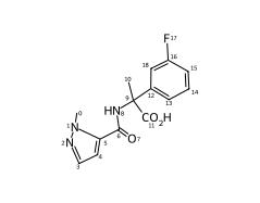 Cn1nccc1C(=O)NC(C)(C(=O)O)c1cccc(F)c1